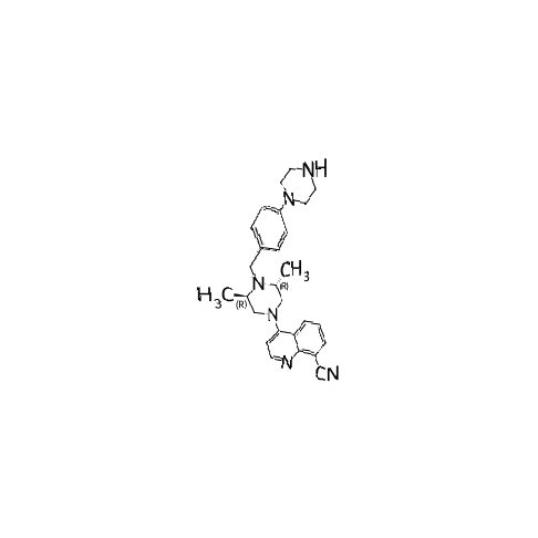 C[C@@H]1CN(c2ccnc3c(C#N)cccc23)C[C@@H](C)N1Cc1ccc(N2CCNCC2)cc1